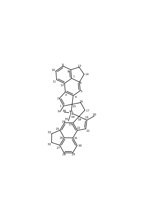 CC1=Cc2c(cc3c4c(cccc24)CC3)[C]12CC[C]1(C(C)=Cc3c1cc1c4c(cccc34)CC1)[Ti]2([CH3])[CH3]